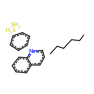 CCCCCC.S.S.c1ccc2ncccc2c1.c1ccccc1